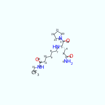 NC(=O)CC[C@H](NCCCCCC(=O)NCC(F)(F)F)C(=O)N1CCCC1